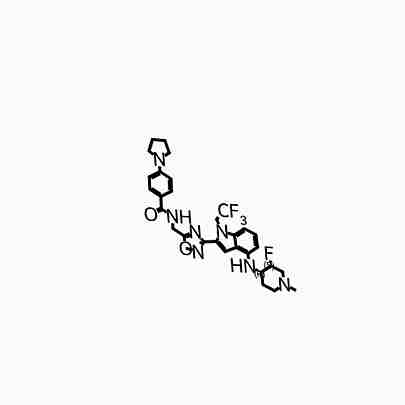 CN1CC[C@@H](Nc2cccc3c2cc(-c2noc(CNC(=O)c4ccc(N5CCCC5)cc4)n2)n3CC(F)(F)F)[C@@H](F)C1